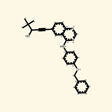 CC(C)(C)C(O)C#Cc1ccc2ncnc(Nc3ccc(OCc4ccccc4)cc3)c2c1